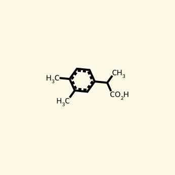 Cc1ccc(C(C)C(=O)O)cc1C